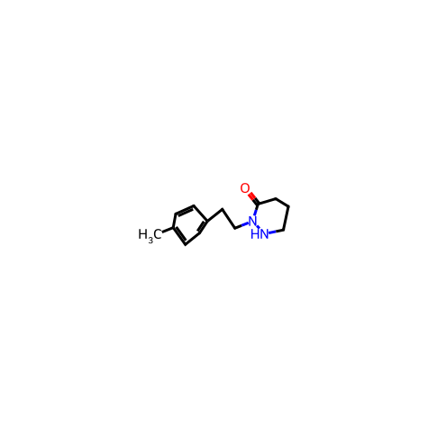 Cc1ccc(CCN2NCCCC2=O)cc1